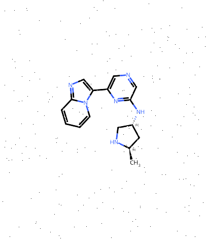 C[C@@H]1C[C@@H](Nc2cncc(-c3cnc4ccccn34)n2)CN1